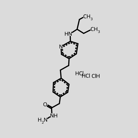 CCC(CC)Nc1ccc(CCc2ccc(CC(=O)NN)cc2)cn1.Cl.Cl.Cl